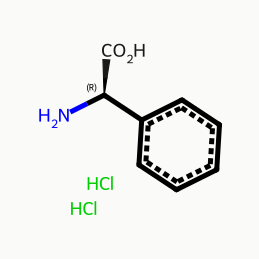 Cl.Cl.N[C@@H](C(=O)O)c1ccccc1